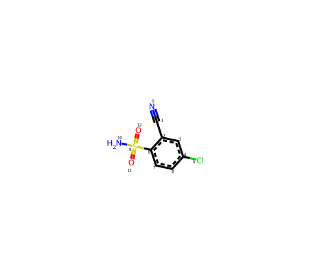 N#Cc1cc(Cl)ccc1S(N)(=O)=O